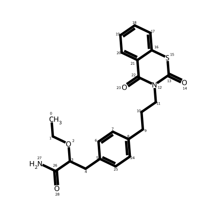 CCOC(Cc1ccc(CCCn2c(=O)sc3ccccc3c2=O)cc1)C(N)=O